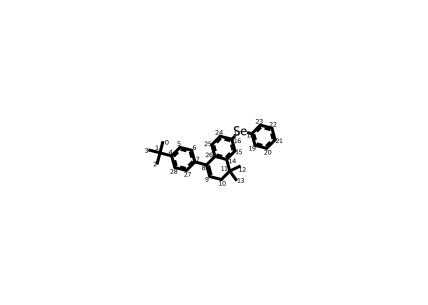 CC(C)(C)c1ccc(C2=CCC(C)(C)c3cc([Se]c4ccccc4)ccc32)cc1